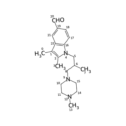 Cc1c(C)n(CC(C)CN2CCN(C)CC2)c2ccc(C=O)cc12